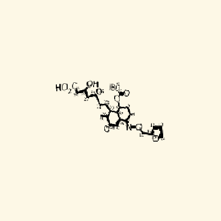 CCC(C)C(=O)OC1CCC(=NOCc2ccco2)C2=CC(=O)C(C)C(CCC(=O)CC(O)CC(=O)O)C21